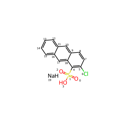 O=S(=O)(O)c1c(Cl)ccc2cc3ccccc3cc12.[NaH]